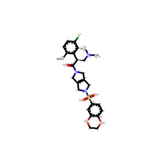 COc1ccc(F)cc1[C@@H](CN(C)C)C(=O)N1CC2=C(C1)CN(S(=O)(=O)c1ccc3c(c1)OCCO3)C2